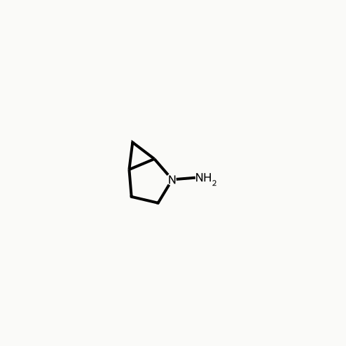 NN1CCC2CC21